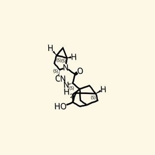 N#C[C@@H]1C[C@@H]2C[C@@H]2N1C(=O)[C@@H](N)C12CC3C[C@H](CC(O)(C3)C1)C2